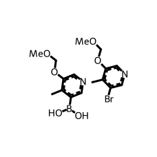 COCOc1cncc(B(O)O)c1C.COCOc1cncc(Br)c1C